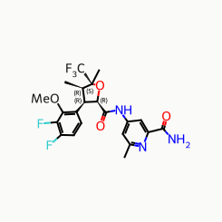 COc1c([C@H]2[C@@H](C)[C@@](C)(C(F)(F)F)O[C@H]2C(=O)Nc2cc(C)nc(C(N)=O)c2)ccc(F)c1F